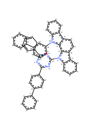 C1=CCC(c2nc(-c3ccc(-c4ccccc4)cc3)nc(-n3c4ccccc4c4ccc5c6ccccc6n(-c6cccc(-c7ccccc7)c6)c5c43)n2)C=C1